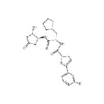 O=C1C[C@H](NC(=O)[C@H](CC2CCCC2)NC(=O)c2ccc(-c3cccc(F)c3)o2)C(O)O1